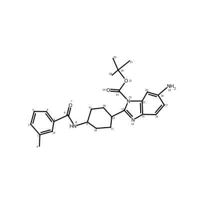 Cc1cccc(C(=O)NC2CCC(c3nc4ccc(N)cc4n3C(=O)OC(C)(C)C)CC2)c1